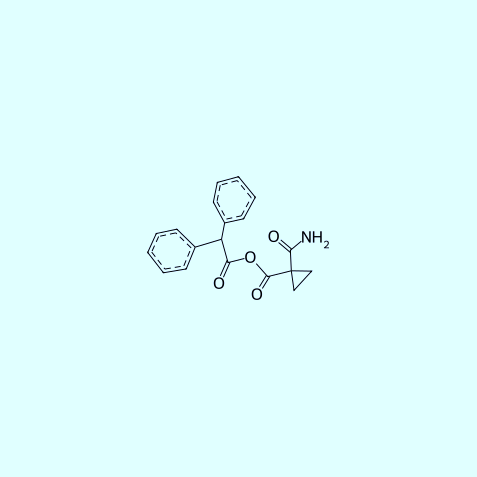 NC(=O)C1(C(=O)OC(=O)C(c2ccccc2)c2ccccc2)CC1